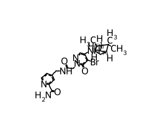 C[C@H]1[C@H]2C[C@H](C[C@H]1Nc1cnn(CC(=O)NCc3ccnc(C(N)=O)c3)c(=O)c1Br)C2(C)C